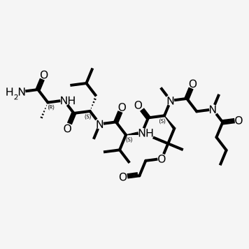 CCCC(=O)N(C)CC(=O)N(C)[C@@H](CC(C)(C)OCC=O)C(=O)N[C@H](C(=O)N(C)[C@@H](CC(C)C)C(=O)N[C@H](C)C(N)=O)C(C)C